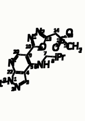 CCn1ncc2c(NCC(C)C)c(-c3nnc(CS(C)(=O)=O)o3)cnc21